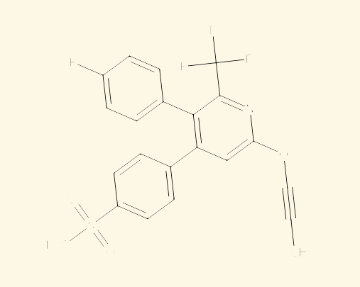 CC#COc1cc(-c2ccc(S(C)(=O)=O)cc2)c(-c2ccc(F)cc2)c(C(F)(F)F)n1